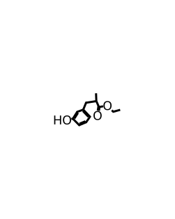 CCOC(=O)C(C)Cc1cccc(O)c1